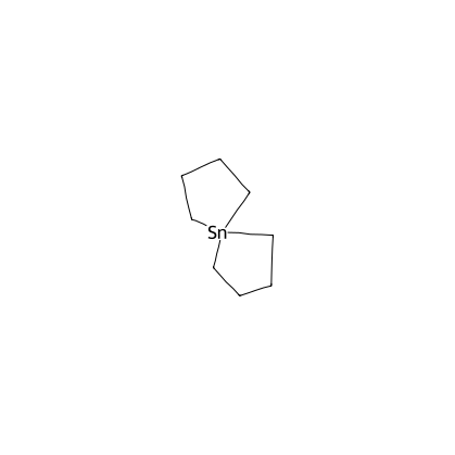 C1C[CH2][Sn]2([CH2]1)[CH2]CC[CH2]2